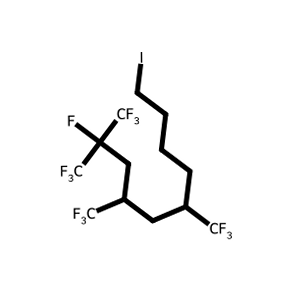 FC(F)(F)C(CCCCI)CC(CC(F)(C(F)(F)F)C(F)(F)F)C(F)(F)F